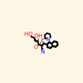 CC1CCCCN1c1c(/C=C(\C#N)C(=O)CCC(O)CO)ccc2ccccc12